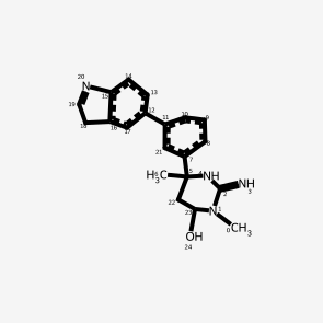 CN1C(=N)NC(C)(c2cccc(-c3ccc4c(c3)CC=N4)c2)CC1O